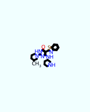 CC1CCCN(c2nc(N[C@@H]3CCCNC3)c(-c3nc4ccccc4s3)c(=O)[nH]2)C1